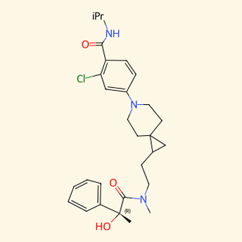 CC(C)NC(=O)c1ccc(N2CCC3(CC2)CC3CCN(C)C(=O)[C@](C)(O)c2ccccc2)cc1Cl